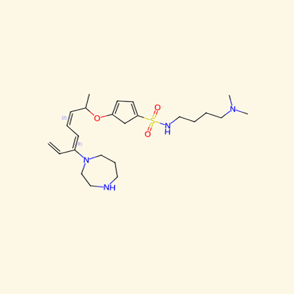 C=C/C(=C\C=C/C(C)OC1=CC=C(S(=O)(=O)NCCCCN(C)C)C1)N1CCCNCC1